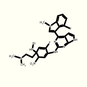 CCNC1(CCN(C)C)C=C(F)C(Nc2nc(-c3cn(C)c4cccc(F)c34)c3cc[nH]c3n2)=CC1[N+](=O)[O-]